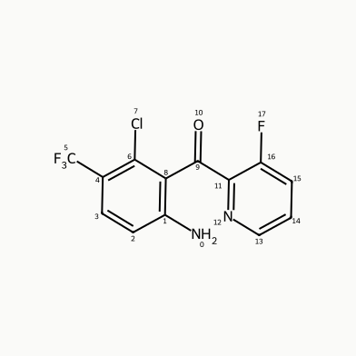 Nc1ccc(C(F)(F)F)c(Cl)c1C(=O)c1ncccc1F